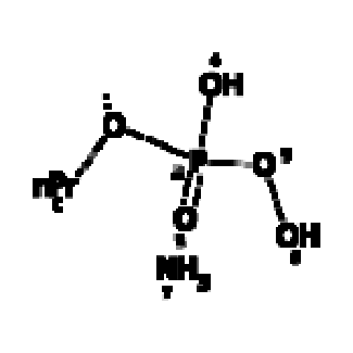 CCCOP(=O)(O)OO.N